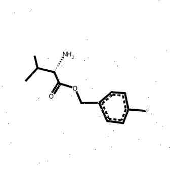 CC(C)[C@H](N)C(=O)OCc1ccc(F)cc1